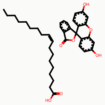 CCCCCCCC/C=C\CCCCCCCC(=O)O.O=C1OC2(c3ccc(O)cc3Oc3cc(O)ccc32)c2ccccc21